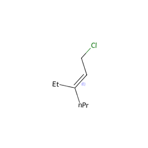 CCC/C(=C/CCl)CC